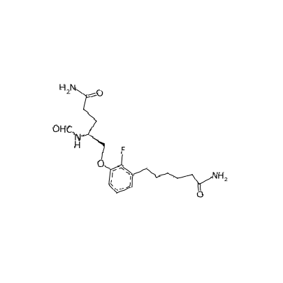 NC(=O)CCCCCc1cccc(OC[C@H](CCC(N)=O)NC=O)c1F